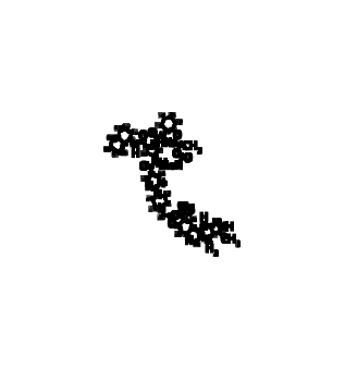 CNC(=O)OC(C)C(=O)NC(C(=O)N1C[C@@H](NC(=O)c2cnc(N3CCN(CCOc4cc5ncnc(Nc6n[nH]c(C)c6C)c5cc4S(=O)(=O)C(C)(C)C)CC3)nc2)C[C@H]1C(=O)N[C@@H]1CCCc2ccccc21)C1CCCCC1